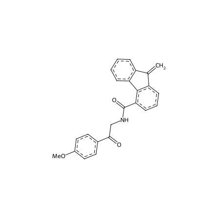 C=C1c2ccccc2-c2c1cccc2C(=O)NCC(=O)c1ccc(OC)cc1